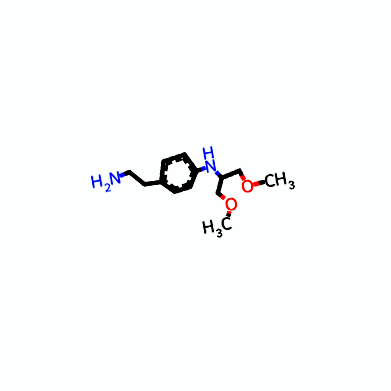 COCC(COC)Nc1ccc(CCN)cc1